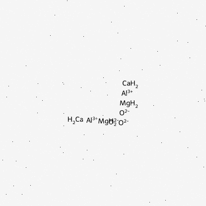 [Al+3].[Al+3].[CaH2].[CaH2].[MgH2].[MgH2].[O-2].[O-2].[O-2]